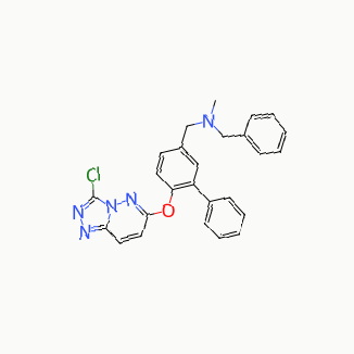 CN(Cc1ccccc1)Cc1ccc(Oc2ccc3nnc(Cl)n3n2)c(-c2ccccc2)c1